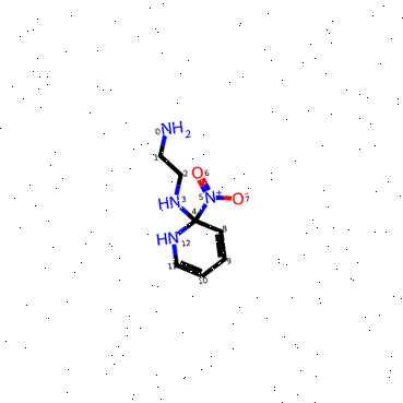 NCCNC1([N+](=O)[O-])C=CC=CN1